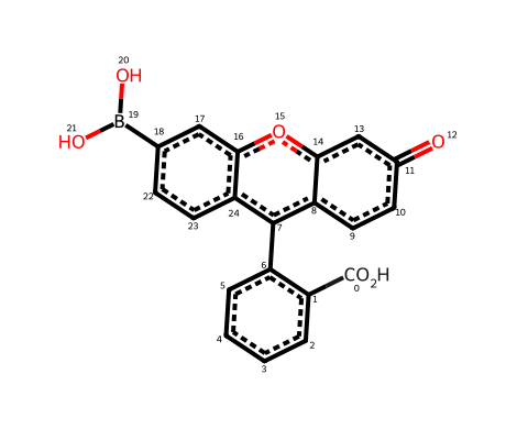 O=C(O)c1ccccc1-c1c2ccc(=O)cc-2oc2cc(B(O)O)ccc12